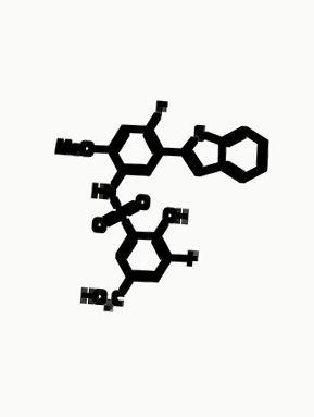 COc1cc(F)c(-c2cc3ccccc3s2)cc1NS(=O)(=O)c1cc(C(=O)O)cc(F)c1O